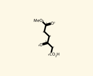 COC(=O)CCC(=O)CC(=O)O